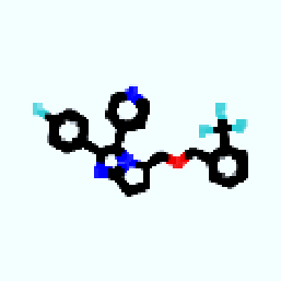 Fc1ccc(-c2nc3n(c2-c2ccncc2)C(COCc2ccccc2C(F)(F)F)CC3)cc1